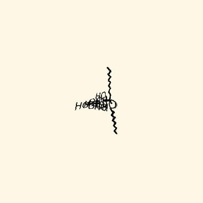 CCCCCCCCCCOC(CCCCCCCCCC)C(CO)(CO)CO.OP(O)O.OP(O)O